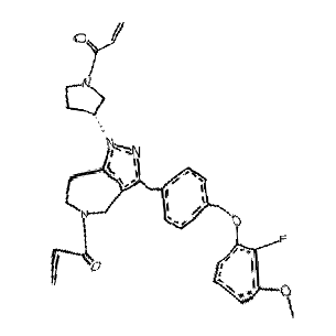 C=CC(=O)N1CCc2c(c(-c3ccc(Oc4cccc(OC)c4F)cc3)nn2[C@@H]2CCN(C(=O)C=C)C2)C1